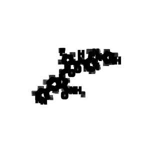 NC(=O)c1cn(CC(=O)N2CC(F)CC2C(=O)Nc2ncnc3c2cnn3C2CCNC2)c2ccc(-c3ccnnc3)cc12